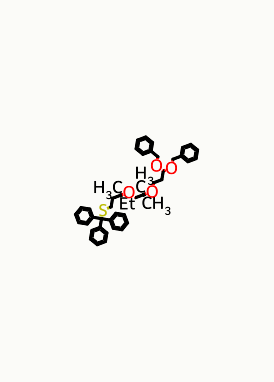 CCC(C)(CCSC(c1ccccc1)(c1ccccc1)c1ccccc1)OCC(C)(C)OCCC(OCc1ccccc1)OCc1ccccc1